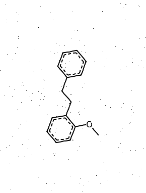 COc1[c]cccc1CCc1ccccc1